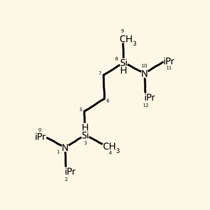 CC(C)N(C(C)C)[SiH](C)CCC[SiH](C)N(C(C)C)C(C)C